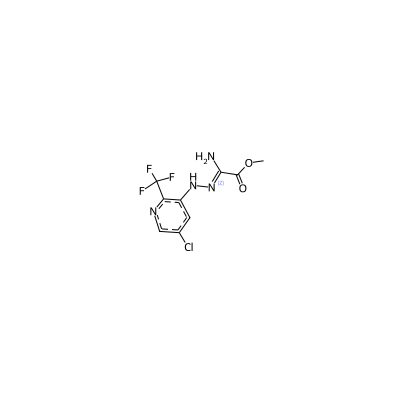 COC(=O)/C(N)=N/Nc1cc(Cl)cnc1C(F)(F)F